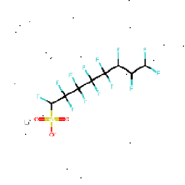 O=S(=O)([O-])C(F)C(F)(F)C(F)(F)C(F)(F)C(F)(F)C(F)C(F)C(F)F.[Li+]